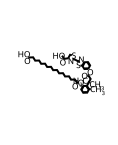 Cc1cccc(OC(=O)CCCCCCCCCCCCCCCC(=O)O)c1C(C)(C)CC(=O)Oc1ccc2nc(C3=NC(C(=O)O)CS3)sc2c1